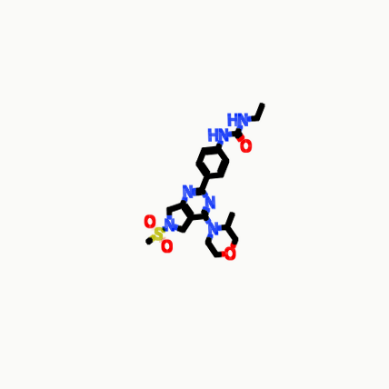 CCNC(=O)Nc1ccc(-c2nc3c(c(N4CCOCC4C)n2)CN(S(C)(=O)=O)C3)cc1